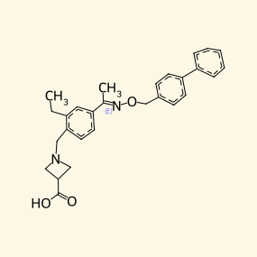 CCc1cc(/C(C)=N/OCc2ccc(-c3ccccc3)cc2)ccc1CN1CC(C(=O)O)C1